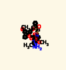 COCCOC1C(OP(SCCSC(=O)c2ccccc2)N2CCCC2)[C@@H](COC(c2ccccc2)(c2ccc(OC)cc2)c2ccc(OC)cc2)O[C@H]1n1cc(C)c(N)nc1=O